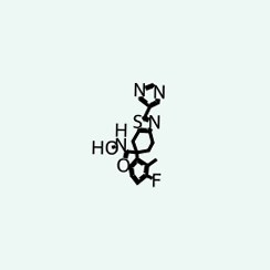 Cc1c(F)cccc1C1(C(=O)NO)CCc2nc(-c3cncnc3)sc2C1